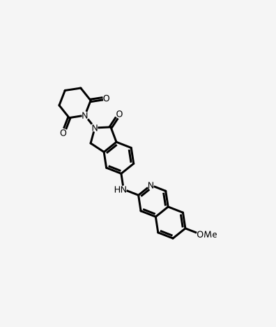 COc1ccc2cc(Nc3ccc4c(c3)CN(N3C(=O)CCCC3=O)C4=O)ncc2c1